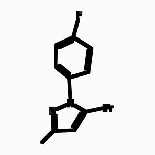 Cc1cc(C(C)C)n(-c2ccc(F)cc2)n1